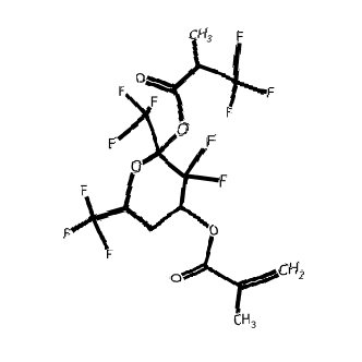 C=C(C)C(=O)OC1CC(C(F)(F)F)OC(OC(=O)C(C)C(F)(F)F)(C(F)(F)F)C1(F)F